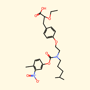 CCOC(Cc1ccc(OCCN(CCCC(C)C)C(=O)Oc2ccc(C)c([N+](=O)[O-])c2)cc1)C(=O)O